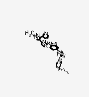 CCn1cc(-c2ccnc(Nc3ccc(-n4cnc(N5CCN(C)CC5)n4)cc3)n2)c(-c2cccnc2)n1